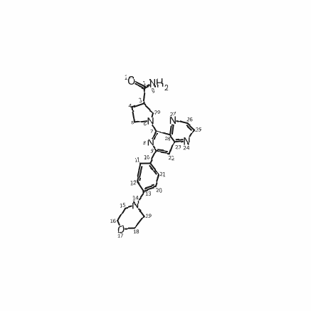 NC(=O)C1CCN(c2nc(-c3ccc(N4CCOCC4)cc3)cc3nccnc23)C1